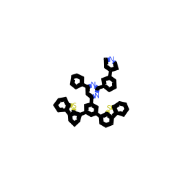 c1ccc(-c2cc(-c3cc(-c4cccc5c4sc4ccccc45)cc(-c4cccc5c4sc4ccccc45)c3)nc(-c3cccc(-c4ccncc4)c3)n2)cc1